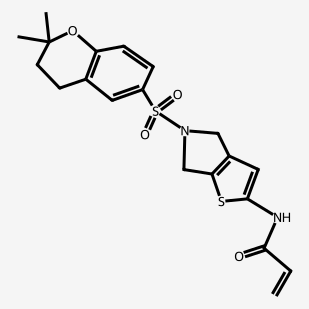 C=CC(=O)Nc1cc2c(s1)CN(S(=O)(=O)c1ccc3c(c1)CCC(C)(C)O3)C2